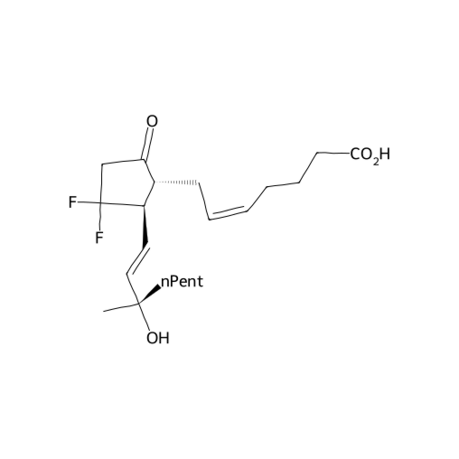 CCCCC[C@](C)(O)/C=C/[C@@H]1[C@@H](C/C=C\CCCC(=O)O)C(=O)CC1(F)F